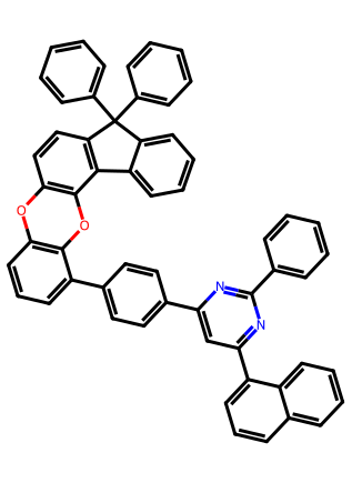 c1ccc(-c2nc(-c3ccc(-c4cccc5c4Oc4c(ccc6c4-c4ccccc4C6(c4ccccc4)c4ccccc4)O5)cc3)cc(-c3cccc4ccccc34)n2)cc1